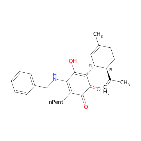 C=C(C)[C@@H]1CCC(C)=C[C@H]1C1=C(O)C(NCc2ccccc2)=C(CCCCC)C(=O)C1=O